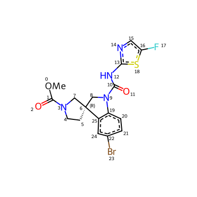 COC(=O)N1CC[C@]2(C1)CN(C(=O)Nc1ncc(F)s1)c1ccc(Br)cc12